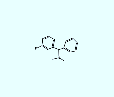 CN(C)C(c1cc[c]cc1)c1cccc(F)c1